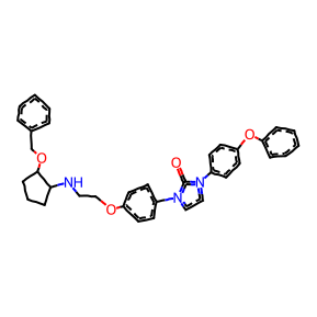 O=c1n(-c2ccc(OCCNC3CCCC3OCc3ccccc3)cc2)ccn1-c1ccc(Oc2ccccc2)cc1